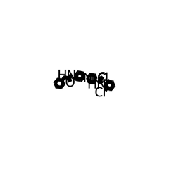 O=C(CC1CCCCC1)Nc1ccc(N2CCN(C(=O)Nc3c(Cl)cccc3Cl)CC2)cc1